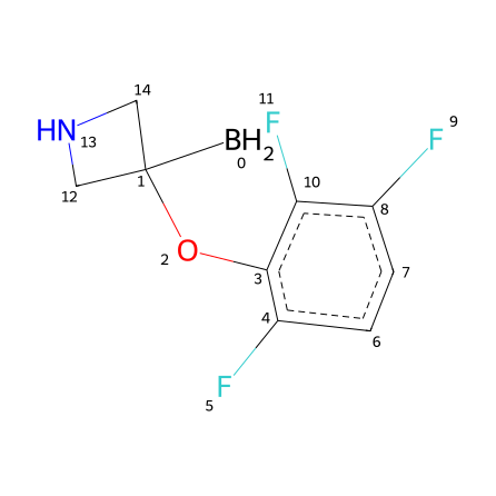 BC1(Oc2c(F)ccc(F)c2F)CNC1